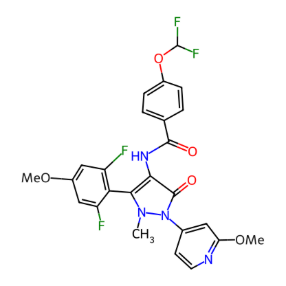 COc1cc(F)c(-c2c(NC(=O)c3ccc(OC(F)F)cc3)c(=O)n(-c3ccnc(OC)c3)n2C)c(F)c1